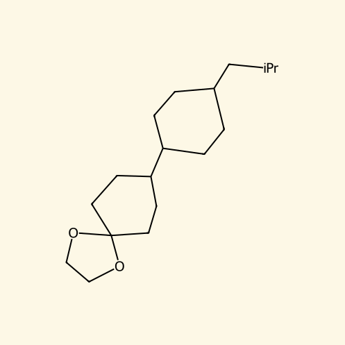 CC(C)CC1CCC(C2CCC3(CC2)OCCO3)CC1